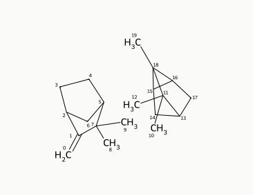 C=C1C2CCC(C2)C1(C)C.CC1(C)C2CC3C(C2)C31C